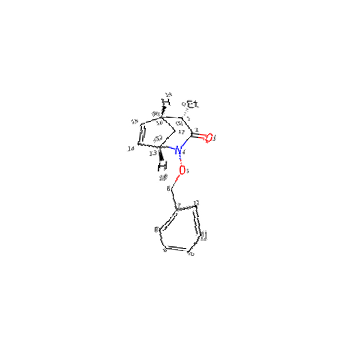 CC[C@@H]1C(=O)N(OCc2ccccc2)[C@@H]2C=C[C@H]1C2